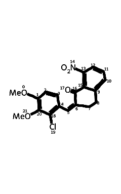 COc1ccc(C=C2CCc3cccc([N+](=O)[O-])c3C2=O)c(Cl)c1OC